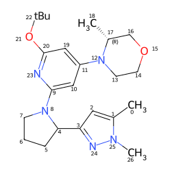 Cc1cc(C2CCCN2c2cc(N3CCOC[C@H]3C)cc(OC(C)(C)C)n2)nn1C